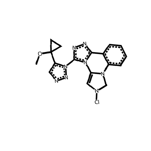 COC1(c2cnnn2-c2nnc3n2C2=CN(Cl)CN2c2ccccc2-3)CC1